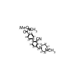 CON(C)C(=O)c1ccc(-c2ccc(CN3CCCN(C)CC3)cc2C#N)cc1